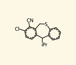 CC(C)C1c2ccccc2SCc2c1ccc(Cl)c2C#N